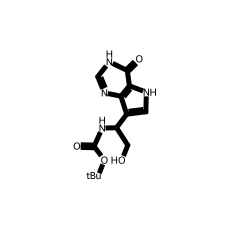 CC(C)(C)OC(=O)NC(CO)c1c[nH]c2c(=O)[nH]cnc12